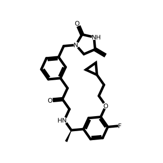 C=C1CN(Cc2cccc(CC(=O)CN[C@H](C)c3ccc(F)c(OCCC4CC4)c3)c2)C(=O)N1